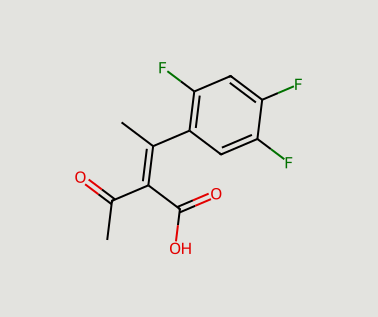 CC(=O)C(C(=O)O)=C(C)c1cc(F)c(F)cc1F